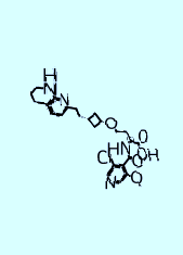 COc1cncc(Cl)c1C(=O)N[C@@H](CCO[C@H]1C[C@@H](CCc2ccc3c(n2)NCCC3)C1)C(=O)O